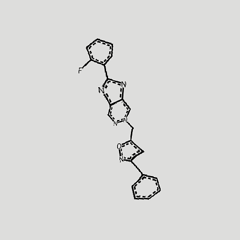 Fc1ccccc1-c1nc2cnn(Cc3cc(-c4ccccc4)no3)cc-2n1